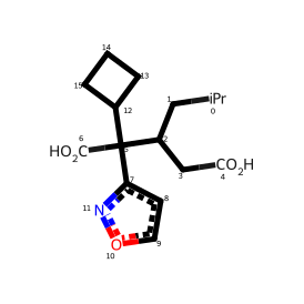 CC(C)CC(CC(=O)O)C(C(=O)O)(c1ccon1)C1CCC1